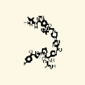 CN[C@@H](C)C(=O)NC(C(=O)N1CCC[C@H]1c1nc(C(=O)c2ccc(F)cc2)cs1)C1CCN(C(=O)c2cnc(N3CCN(CCOc4cc5ncnc(Nc6n[nH]c(C)c6C)c5cc4S(=O)(=O)C(C)(C)C)CC3)cn2)CC1